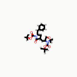 CC(C)(C)OC(=O)N1C(=O)C(CC2COC(C)(C)N2C(=O)OC(C)(C)C)CC1Cc1ccccc1